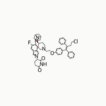 O=C1CCC(n2cc3cc(F)c(N4CC5CC(C4)N5CC4CCN(CCOc5ccc(C(=C(CCCl)c6ccccc6)c6ccccc6)cc5)CC4)cc3c2)C(=O)N1